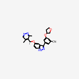 Cc1cnnc(C)c1[C@@H](C)Oc1ccc2[nH]nc(-c3cc(C#N)cc(OC4CCOC4)c3)c2c1